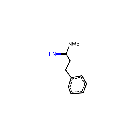 CNC(=N)CCc1ccccc1